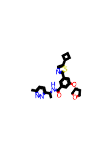 Cc1ccc(C(C)NC(=O)c2cc(O[C@@H]3CCOC3)cc(-c3ncc(C4CCC4)s3)c2)nn1